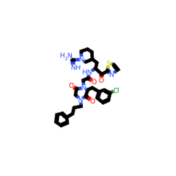 N=C(N)N1CCCC(CC(NC(=O)CN2C(=O)CN(CCCc3ccccc3)C(=O)C2Cc2cccc(Cl)c2)C(=O)c2nccs2)C1